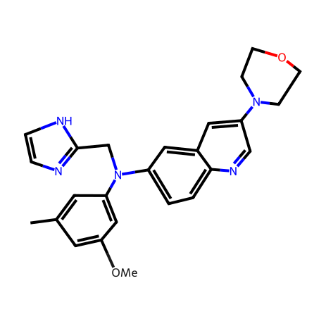 COc1cc(C)cc(N(Cc2ncc[nH]2)c2ccc3ncc(N4CCOCC4)cc3c2)c1